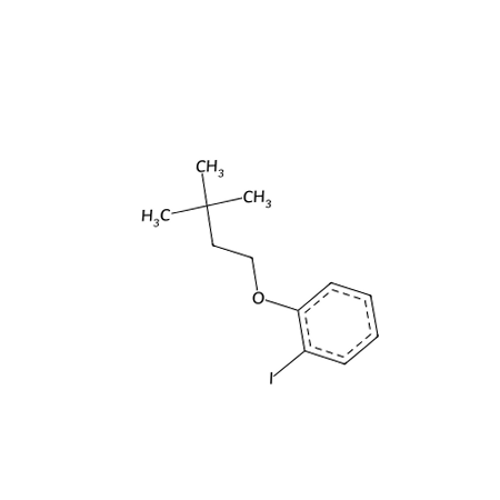 CC(C)(C)CCOc1ccccc1I